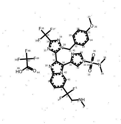 CNCC(F)(F)c1ccc2nc(-c3nc(C(F)(F)F)nn3Cc3ccc(OC)cc3)c(-c3cn(S(=O)(=O)N(C)C)cn3)n2c1.O=C(O)C(F)(F)F